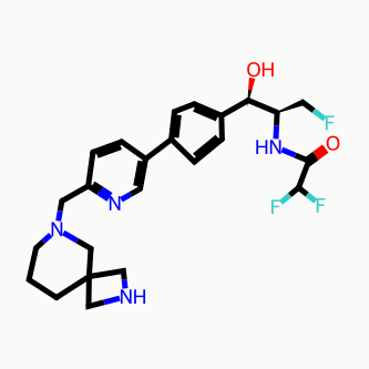 O=C(N[C@H](CF)[C@H](O)c1ccc(-c2ccc(CN3CCCC4(CNC4)C3)nc2)cc1)C(F)F